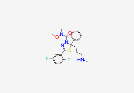 CNCCCC1(c2ccccc2)SC(c2cc(F)ccc2F)=NN1C(=O)N(C)OC